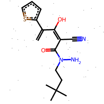 C=C(/C(O)=C(/C#N)C(=O)N(N)CCC(C)(C)C)c1cccs1